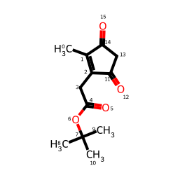 CC1=C(CC(=O)OC(C)(C)C)C(=O)CC1=O